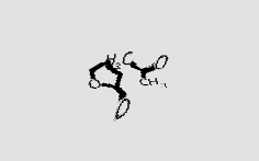 CC(C)=O.O=C1C=CCO1